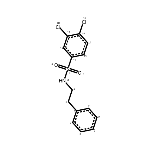 O=S(=O)(NCCc1cc[c]cc1)c1ccc(Cl)c(Cl)c1